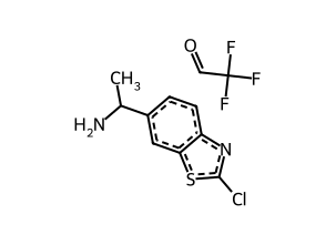 CC(N)c1ccc2nc(Cl)sc2c1.O=CC(F)(F)F